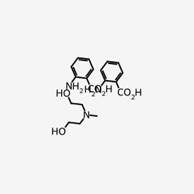 CN(CCO)CCO.Nc1ccccc1C(=O)O.Nc1ccccc1C(=O)O